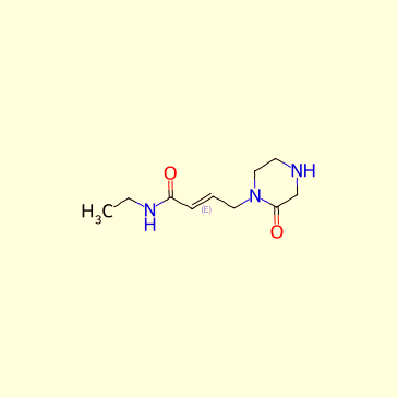 CCNC(=O)/C=C/CN1CCNCC1=O